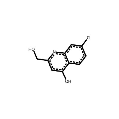 OCc1cc(O)c2ccc(Cl)cc2n1